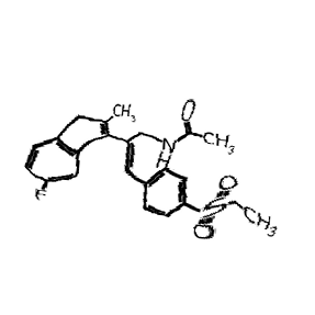 CC(=O)NCC(=Cc1ccc(S(C)(=O)=O)cc1)C1=C(C)Cc2ccc(F)cc21